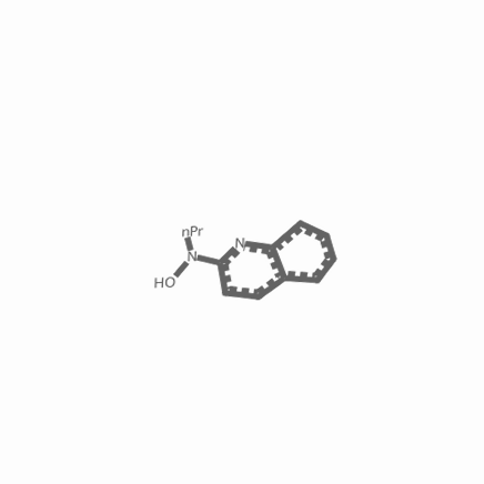 CCCN(O)c1ccc2ccccc2n1